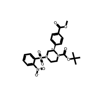 COC(=O)c1ccc([C@@H]2CN(S(=O)(=O)c3ccccc3[N+](=O)[O-])CCN2C(=O)OC(C)(C)C)cc1